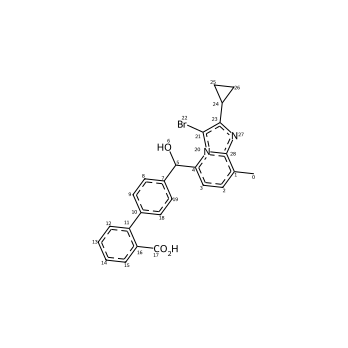 Cc1ccc(C(O)c2ccc(-c3ccccc3C(=O)O)cc2)n2c(Br)c(C3CC3)nc12